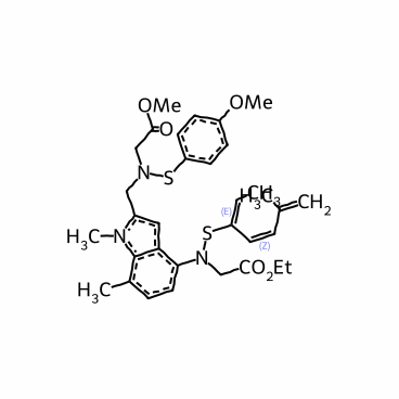 C=C(C)/C=C\C(=C/C)SN(CC(=O)OCC)c1ccc(C)c2c1cc(CN(CC(=O)OC)Sc1ccc(OC)cc1)n2C